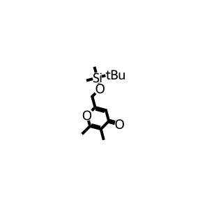 Cc1oc(CO[Si](C)(C)C(C)(C)C)cc(=O)c1C